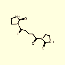 O=C(CCCC(=O)N1CCNC1=O)N1CCNC1=O